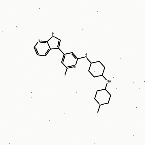 CN1CCC(NC2CCC(Nc3cc(-c4c[nH]c5ncccc45)cc(Cl)n3)CC2)CC1